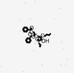 C=CC[C@@H]1O[C@H](C[C@@H](COC(=O)c2ccccc2)OC(=O)c2ccccc2)[C@H](OCCCC)[C@H]1O